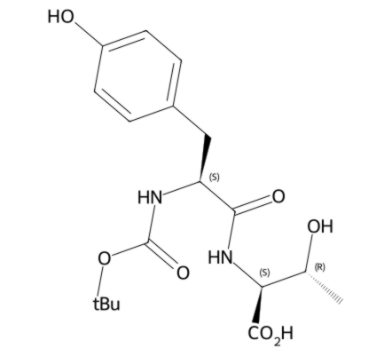 C[C@@H](O)[C@H](NC(=O)[C@H](Cc1ccc(O)cc1)NC(=O)OC(C)(C)C)C(=O)O